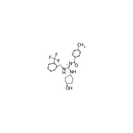 Cc1ccc(C(=O)/N=C(/NCc2ccccc2C(F)(F)F)N[C@H]2CC[C@H](O)CC2)cc1